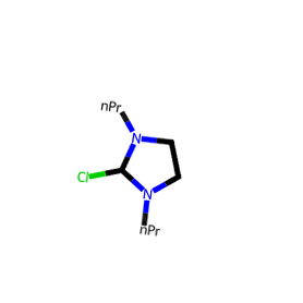 CCCN1CCN(CCC)C1Cl